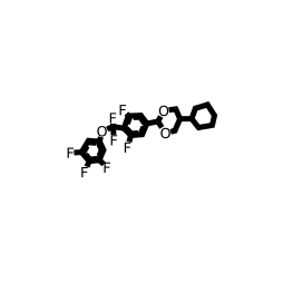 Fc1cc(OC(F)(F)c2c(F)cc(C3OCC(C4CCCCC4)CO3)cc2F)cc(F)c1F